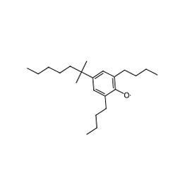 CCCCCC(C)(C)c1cc(CCCC)c([O])c(CCCC)c1